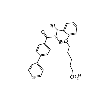 [2H]C(c1ccccc1OCCCCCC(=O)O)N(C(=O)c1ccc(-c2ccncc2)cc1)C(C)CC